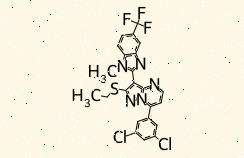 CCSc1nn2c(-c3cc(Cl)cc(Cl)c3)ccnc2c1-c1nc2cc(C(F)(F)F)ccc2n1C